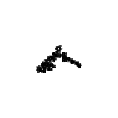 CCCO[C@H](C[C@@H](N(COCC)C(=O)[C@@H](NC(=O)[C@H]1CCCCN1C)[C@@H](C)CC)C1(CC)CC1)c1nc(C(=O)N[C@@H](Cc2ccccc2)C[C@H](C)C(=O)NNC(=O)OCCOCCN=[N+]=[N-])cs1